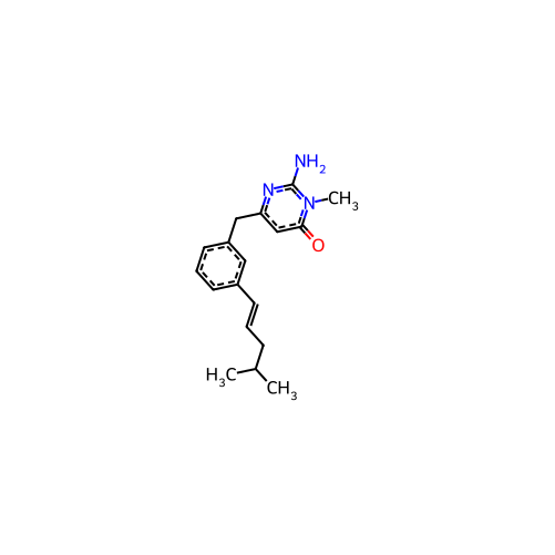 CC(C)CC=Cc1cccc(Cc2cc(=O)n(C)c(N)n2)c1